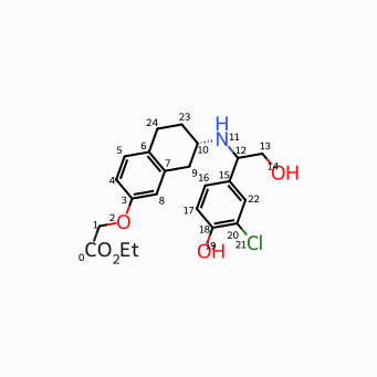 CCOC(=O)COc1ccc2c(c1)C[C@@H](NC(CO)c1ccc(O)c(Cl)c1)CC2